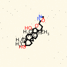 C[C@@H]1CC(c2nnco2)OC2[C@H]1C1(C)CCC34CC35CCC(O)C(C)(C)[C@@H]5CCC4[C@]1(C)[C@H]2O